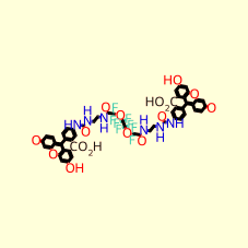 O=C(NCCNC(=O)C(F)(F)OC(F)(F)C(F)(F)OC(F)(F)C(=O)NCCNC(=O)Nc1ccc(-c2c3ccc(=O)cc-3oc3cc(O)ccc23)c(C(=O)O)c1)Nc1ccc(-c2c3ccc(=O)cc-3oc3cc(O)ccc23)c(C(=O)O)c1